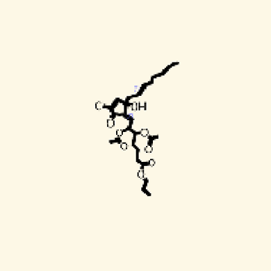 CCCCC/C=C/CC1(O)C=C(Cl)C(=O)/C1=C\C(OC(C)=O)C(CCCC(=O)OCCC)OC(C)=O